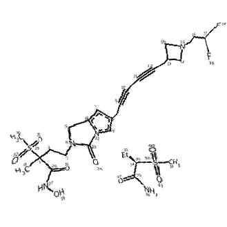 CC(CCN1Cc2cc(C#CC#CC3CN(CC(F)F)C3)cn2C1=O)(C(=O)NO)S(C)(=O)=O.CC[C@H](C(N)=O)S(C)(=O)=O